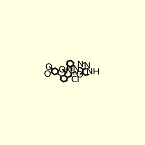 COc1ccc(-c2cccc3c(Cl)c([C@H](C)Nc4ncnc5[nH]ccc(=O)c45)n(-c4ccccc4)c(=O)c23)cc1OC